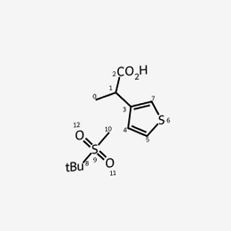 CC(C(=O)O)c1ccsc1.CC(C)(C)S(C)(=O)=O